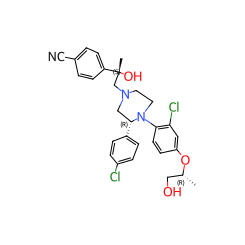 C[C@H](CO)Oc1ccc(N2CCN(C[C@@](C)(O)c3ccc(C#N)cc3)C[C@H]2c2ccc(Cl)cc2)c(Cl)c1